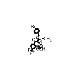 CCn1ncc(C(=O)c2ccc(C(F)(F)F)cc2CS(C)(=O)=O)c1OCc1ccc(Br)cc1